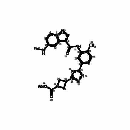 CCNc1ccn2ncc(C(=O)Nc3cc(-c4nnn(C5CN(C(=O)OC)C5)n4)ccc3C)c2c1